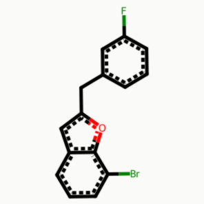 Fc1cccc(Cc2cc3cccc(Br)c3o2)c1